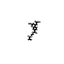 C=C(C)C(=O)OCCOC(=O)c1ccc(C(CC(=O)O)CC(=O)O)cc1